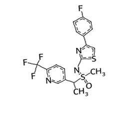 CC(c1ccc(C(F)(F)F)nc1)S(C)(=O)=Nc1nc(-c2ccc(F)cc2)cs1